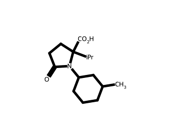 CC1CCCC(N2C(=O)CCC2(C(=O)O)C(C)C)C1